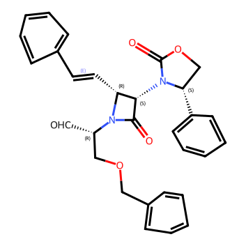 O=C[C@@H](COCc1ccccc1)N1C(=O)[C@@H](N2C(=O)OC[C@@H]2c2ccccc2)[C@H]1/C=C/c1ccccc1